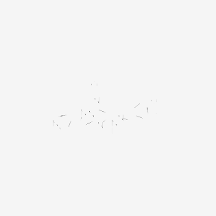 C(=NNc1cc(N2CCOCC2)n2nc(-c3ccncc3)cc2n1)c1ccc2c(c1)OCCO2